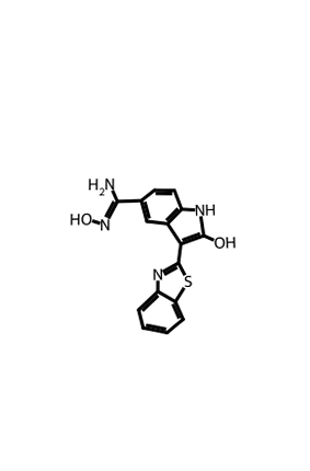 NC(=NO)c1ccc2[nH]c(O)c(-c3nc4ccccc4s3)c2c1